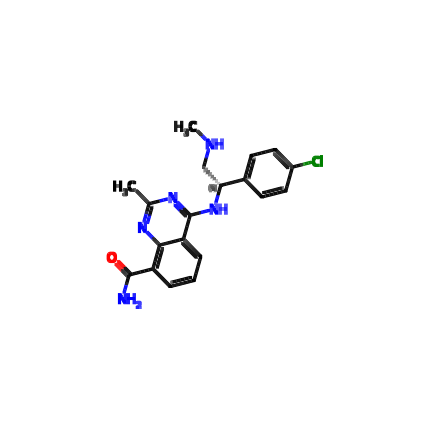 CNC[C@@H](Nc1nc(C)nc2c(C(N)=O)cccc12)c1ccc(Cl)cc1